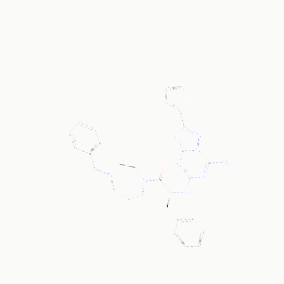 Nc1nc(N[C@@H](Cc2ccccc2)C(=O)N2CCCN(Cc3ccccc3)CC2)nc2nc(-c3ccco3)nn12